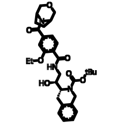 CCOc1cc(C(=O)N2C3CCC2COC3)ccc1C(=O)NC[C@H](O)[C@H]1Cc2ccccc2CN1C(=O)OC(C)(C)C